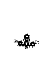 CCc1ccc(/C=C2\CN(S(=O)(=O)c3ccccc3)C/C(=C\c3ccc(CC)cc3)C2=O)cc1